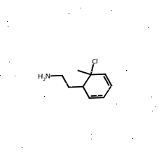 CC1(Cl)C=CC=CC1CCN